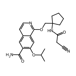 CC(C)Oc1cc2c(OCC3(NC(=O)CC#N)CCCC3)nccc2cc1C(N)=O